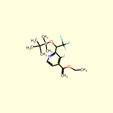 C=C(OCC)c1ccnc(C(O[Si](C)(C)C(C)(C)C)C(F)(F)F)c1F